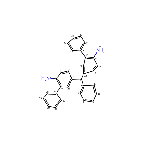 Nc1ccc(C(c2ccccc2)c2ccc(N)c(-c3ccccc3)c2)cc1-c1ccccc1